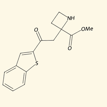 COC(=O)C1(CC(=O)c2cc3ccccc3s2)CCN1